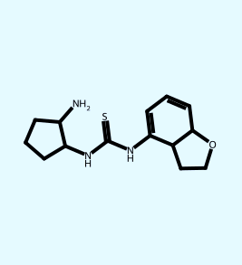 NC1CCCC1NC(=S)NC1=CC=CC2OCCC12